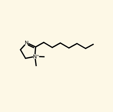 CCCCCCCC1=NCC[N+]1(C)C